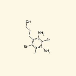 CCc1c(N)c(C)c(CC)c(CCCO)c1N